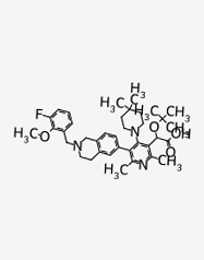 COc1c(F)cccc1CN1CCc2cc(-c3c(C)nc(C)c(C(OC(C)(C)C)C(=O)O)c3N3CCC(C)(C)CC3)ccc2C1